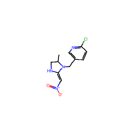 CC1CNC(=C[N+](=O)[O-])N1Cc1ccc(Cl)nc1